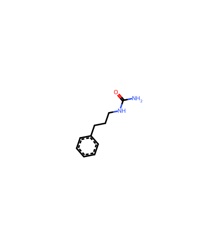 NC(=O)NCCCc1ccccc1